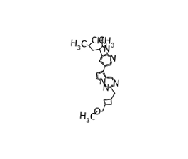 COCC1CC(Cc2ncc3c(-c4cnc5c(c4)C(CC(C)C)C(C)=N5)ccn3n2)C1